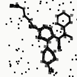 COCCCNc1ncc(C(=O)N(C)C2CCCCC2)c(-c2ccc(C#N)cc2)n1